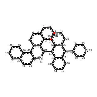 c1ccc2c(c1)ccc1c2c(-c2c3ccccc3c(-c3ccncc3)c3ccccc23)nc2ccc3ccccc3c21